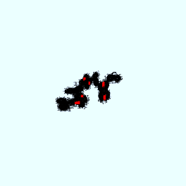 c1ccc2c(c1)-c1cc(-c3ccc4sc5ccccc5c4c3)ccc1C21c2ccccc2-c2cc(-c3ccc4c(c3)c3ccccc3n4-c3ccc4c(c3)-c3ccccc3C43c4ccccc4-c4c(-c5ccc6c(c5)c5ccccc5n6-c5ccc6c(c5)-c5cc(-n7c8ccccc8c8ccccc87)ccc5C65c6ccccc6-c6ccccc65)cccc43)ccc21